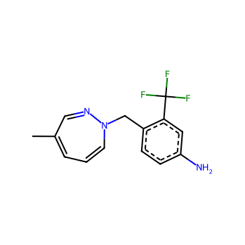 CC1=CC=CN(Cc2ccc(N)cc2C(F)(F)F)N=C1